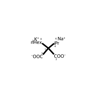 CCCCCCC(C(=O)[O-])(C(=O)[O-])C(C)C.[K+].[Na+]